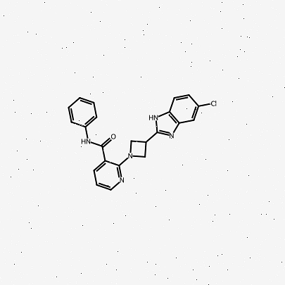 O=C(Nc1ccccc1)c1cccnc1N1CC(c2nc3cc(Cl)ccc3[nH]2)C1